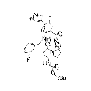 Cn1cc(-c2nc(NCCc3cccc(F)c3)c(C(=O)NC[C@H]3CCCN3C(=O)CCCNC(=O)OC(C)(C)C)cc2F)cn1